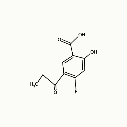 CCC(=O)c1cc(C(=O)O)c(O)cc1F